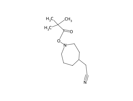 CC(C)(C)C(=O)ON1CCCC(CC#N)CC1